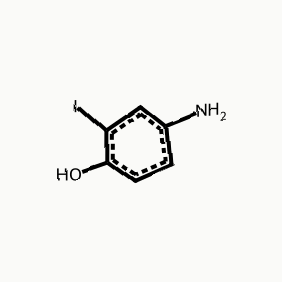 Nc1ccc(O)c(I)c1